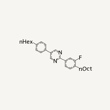 CCCCCCCCc1ccc(-c2ncc(-c3ccc(CCCCCC)cc3)cn2)cc1F